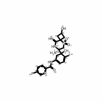 CC1([C@]2(N)CS(=O)(=O)C3(CC(O)C3)C(=N)N2)CC(NC(=O)c2ccc(F)cn2)=CC=C1F